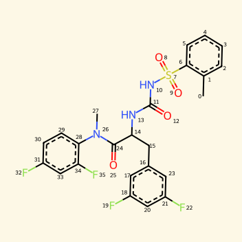 Cc1ccccc1S(=O)(=O)NC(=O)NC(Cc1cc(F)cc(F)c1)C(=O)N(C)c1ccc(F)cc1F